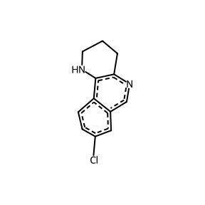 Clc1ccc2c3c(ncc2c1)CCCN3